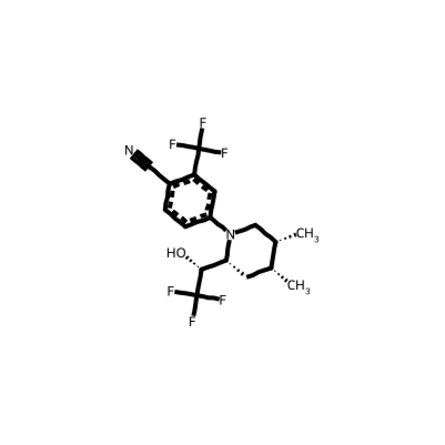 C[C@@H]1C[C@H]([C@@H](O)C(F)(F)F)N(c2ccc(C#N)c(C(F)(F)F)c2)C[C@@H]1C